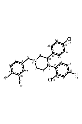 Fc1ccc(CN2CCN(c3ccc(Cl)cc3Cl)C(c3ccc(Cl)cc3)C2)cc1F